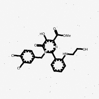 COC(=O)c1nc(-c2ccccc2NCCO)n(Cc2ccc(Cl)c(Cl)c2)c(=O)c1O